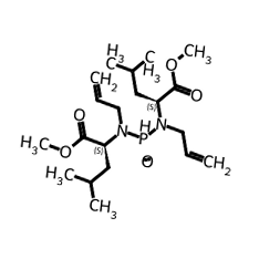 C=CCN([C@@H](CC(C)C)C(=O)OC)[PH](=O)N(CC=C)[C@@H](CC(C)C)C(=O)OC